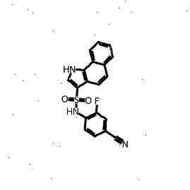 N#Cc1ccc(NS(=O)(=O)c2c[nH]c3c2ccc2ccccc23)c(F)c1